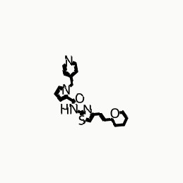 O=C(Nc1nc(C=CC2CCCCO2)cs1)c1cccn1Cc1ccncc1